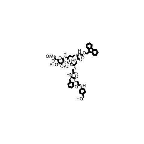 COC(=O)[C@H]1O[C@H](NC(=O)CCC[C@H](NC(=O)OCC2c3ccccc3-c3ccccc32)C(=O)NCC(=O)NCC(=O)N[C@@H](Cc2ccccc2)C(=O)NCC(=O)Nc2ccc(CO)cc2)[C@H](OC(C)=O)[C@@H](OC(C)=O)[C@@H]1OC(C)=O